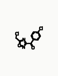 O=C(c1ccc(Cl)cc1)c1noc(CCl)n1